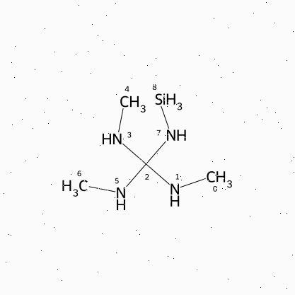 CNC(NC)(NC)N[SiH3]